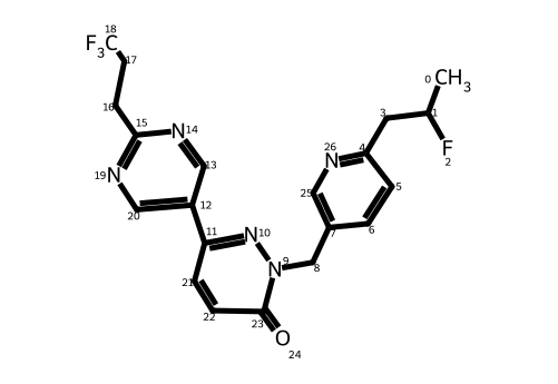 CC(F)Cc1ccc(Cn2nc(-c3cnc(CCC(F)(F)F)nc3)ccc2=O)cn1